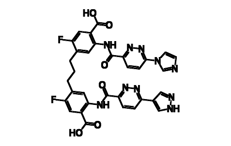 O=C(Nc1cc(CCCc2cc(NC(=O)c3ccc(-n4ccnc4)nn3)c(C(=O)O)cc2F)c(F)cc1C(=O)O)c1ccc(-c2cn[nH]c2)nn1